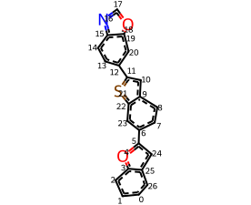 c1ccc2oc(-c3ccc4cc(-c5ccc6ncoc6c5)sc4c3)cc2c1